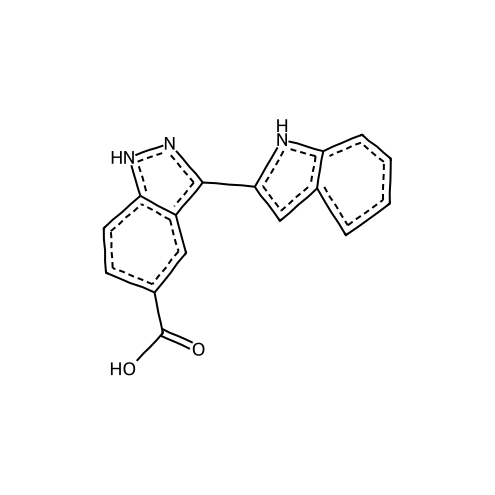 O=C(O)c1ccc2[nH]nc(-c3cc4ccccc4[nH]3)c2c1